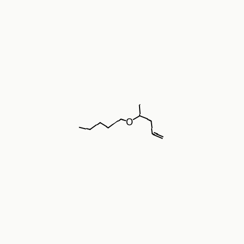 C=CCC(C)OCCCCC